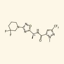 C[C@H](NC(=O)c1cc(C(F)(F)F)nn1C)c1nc(N2CCCC(F)(F)C2)no1